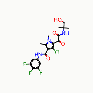 Cc1c(C(=O)Nc2cc(F)c(F)c(F)c2)c(Cl)c(C(=O)C(=O)NC(C)(C)CO)n1C